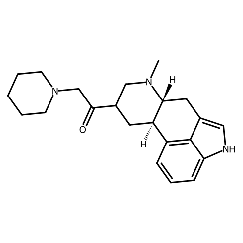 CN1CC(C(=O)CN2CCCCC2)C[C@@H]2c3cccc4[nH]cc(c34)C[C@H]21